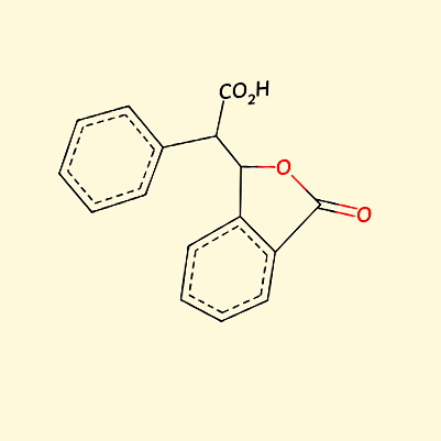 O=C1OC(C(C(=O)O)c2ccccc2)c2ccccc21